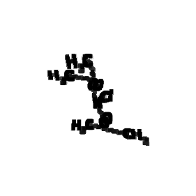 CCCCCCCCC(CCCCCC)COC(=O)CCCCCN(CCCl)CCCCCC(=O)OCC(CCCCCC)CCCCCCCC